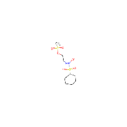 CS(=O)(=O)OCC[NH+]([O-])S(=O)(=O)C1CCCCC1